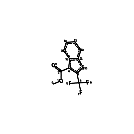 COC(=O)c1c(C(F)(F)F)sc2ccccc12